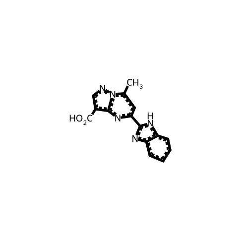 Cc1cc(-c2nc3ccccc3[nH]2)nc2c(C(=O)O)cnn12